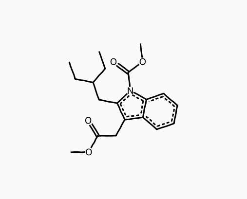 CCC(CC)Cc1c(CC(=O)OC)c2ccccc2n1C(=O)OC